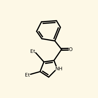 CCc1c[nH]c(C(=O)c2ccccc2)c1CC